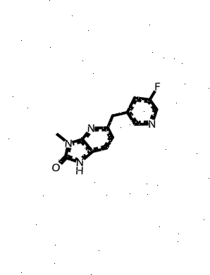 Cn1c(=O)[nH]c2ccc(Cc3cncc(F)c3)nc21